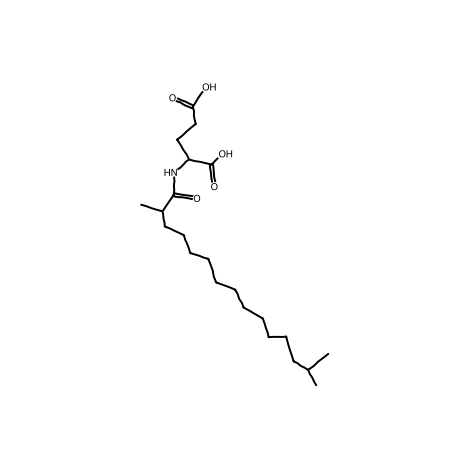 CC(C)CCCCCCCCCCCC(C)C(=O)NC(CCC(=O)O)C(=O)O